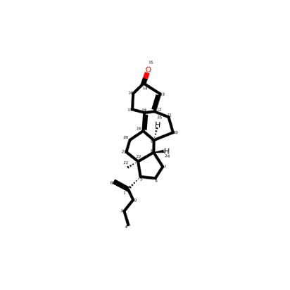 C=C(CCC)[C@H]1CC[C@H]2[C@@H]3CCC4=CC(=O)CCC4=C3CC[C@]12C